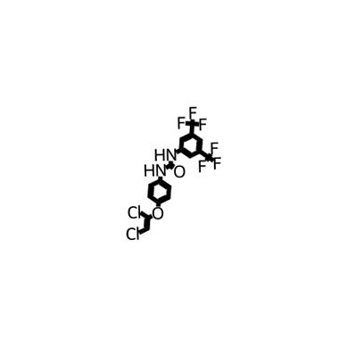 O=C(Nc1ccc(OC(Cl)=CCl)cc1)Nc1cc(C(F)(F)F)cc(C(F)(F)F)c1